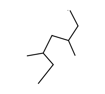 [CH2]CC(C)CC(C)CC